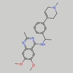 COc1cc2nc(C)nc(NC(C)c3cccc(C4=CCN(C)CC4)c3)c2cc1OC